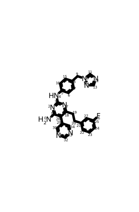 Nc1nc(Nc2ccc(Cn3cncn3)cc2)nc(CCc2cccc(F)c2)c1-c1cncnc1